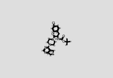 CC(C)(C)OC(=O)NC(Cc1ccc(Cl)cc1)C(=O)N1CCN(c2ncnc3c2CSC3)CC1